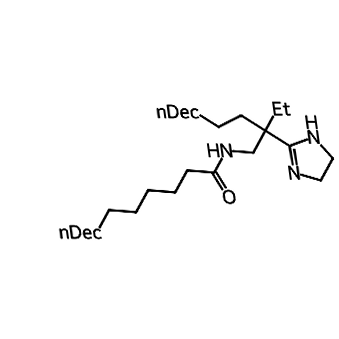 CCCCCCCCCCCCCCCC(=O)NCC(CC)(CCCCCCCCCCCC)C1=NCCN1